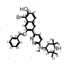 CN(c1ccc(-c2cc3ccc(O)c(Br)c3cc2OCc2ccccc2)nn1)C1CC(C)(C)NC(C)(C)C1